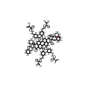 C=C(C)C(=O)OCCc1ccc(Oc2cc3c4c(cc(Oc5ccc(CCOC(=O)C(=C)C)cc5)c5c6c(Oc7ccc(CCOC(=O)C(=C)C)cc7)cc7c8c(cc(Oc9ccc(CCOC(=O)C(=C)C)cc9)c(c2c45)c86)C(=O)N(C(Cc2ccccc2)C(=O)N2CCCCC2)C7=O)C(=O)N(C(Cc2ccccc2)C(=O)N2CCCCC2)C3=O)cc1